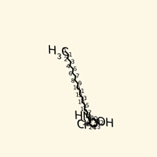 CCCCCCCCCCCCCCCCCCNc1cc(O)ccc1Cl